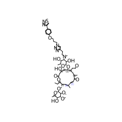 CC[C@H]1OC(=O)C[C@@H](O)[C@H](C)[C@@H](OC2OC(C)C(O)C(N(C)CCc3cn(CCCOc4ccc(-c5csnn5)cc4)nn3)C2O)[C@@H](CC=O)C[C@@H](C)C(=O)/C=C/C(C)=C/[C@@H]1COC1O[C@H](C)C(O)C(OC)C1OC